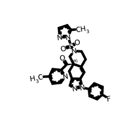 Cc1ccnc(C(=O)[C@]23Cc4cnn(-c5ccc(F)cc5)c4C=C2CCN(S(=O)(=O)n2nccc2C)C3)c1